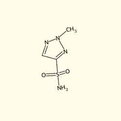 Cn1ncc(S(N)(=O)=O)n1